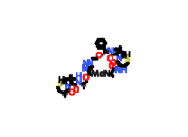 CN[C@@H](C)C(=O)N[C@H]1CCS[C@H]2CC(C)(C)[C@@H](C(=O)N[C@H](COCCn3cc(COC[C@H](C)NC(=O)[C@H]4N5C(=O)[C@@H](C)CCS[C@H]5CC4(C)C)nn3)c3ccccc3)N2C1=O